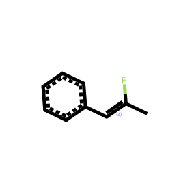 [CH2]/C(F)=C/c1ccccc1